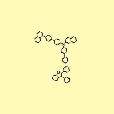 c1ccc(-c2c(-c3cccc(-c4ccc(-c5ccc(N(c6ccc(-c7ccc(-c8cccc9ccccc89)cc7)cc6)c6ccc7ccccc7c6)cc5)cc4)c3)oc3ccccc23)cc1